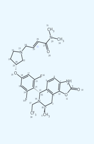 C[C@@H]1Cc2c(ccc3[nH]c(=O)oc23)[C@@H](c2c(F)cc(O[C@@H]3CCN(C/C=C/C(=O)N(C)C)C3)cc2F)N1CC(F)(F)F